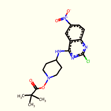 CC(C)(C)C(=O)ON1CCC(Nc2nc(Cl)nc3ccc([N+](=O)[O-])cc23)CC1